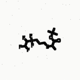 CC(SCCCC(F)(F)C(F)C(F)F)C(=O)OC(C)(C)C